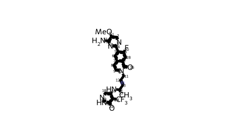 COc1cnc(-c2cc3ccn(C/C=C/C(C)Nc4cn[nH]c(=O)c4C(F)(F)F)c(=O)c3cc2F)nc1N